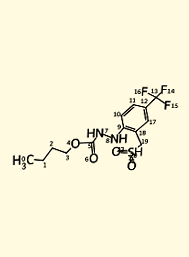 CCCCOC(=O)NNc1ccc(C(F)(F)F)cc1C[SH](=O)=O